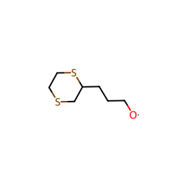 [O]CCCC1CSCCS1